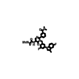 CN[C@@H](C)C(=O)Nc1cnc(-c2cccc(C(=O)N(C)C)c2)n(Cc2cc(F)cc(-n3cc(C)c4cc(F)ccc43)c2)c1=O